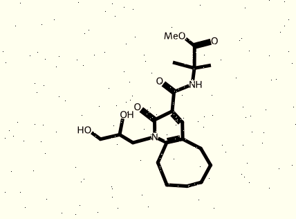 COC(=O)C(C)(C)NC(=O)c1cc2c(n(CC(O)CO)c1=O)CCCCCC2